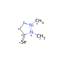 CN1CCC(=[Se])N1C